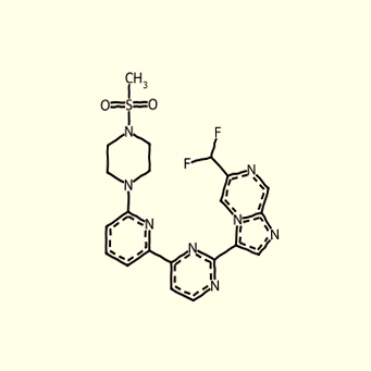 CS(=O)(=O)N1CCN(c2cccc(-c3ccnc(-c4cnc5cnc(C(F)F)cn45)n3)n2)CC1